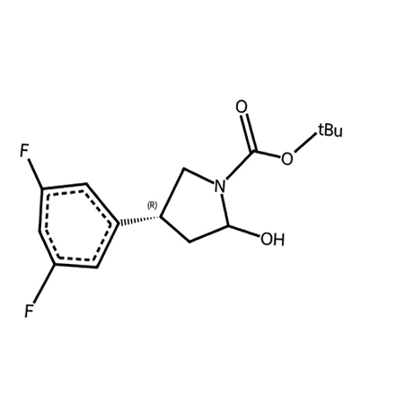 CC(C)(C)OC(=O)N1C[C@@H](c2cc(F)cc(F)c2)CC1O